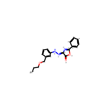 CC(C)CCOCc1cccc(NN=C2N=C(c3ccccc3)OC2=O)c1